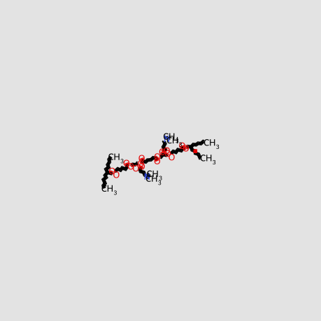 CCCCCCC(CCCCCC)COC(=O)CCCCC(=O)OCC(COC(=O)CCCCC(=O)OCC(COC(=O)CCCCC(=O)OCC(CCCCCC)CCCCCC)OC(=O)CCCN(C)C)OC(=O)CCCN(C)C